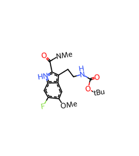 CNC(=O)c1[nH]c2cc(F)c(OC)cc2c1CCNC(=O)OC(C)(C)C